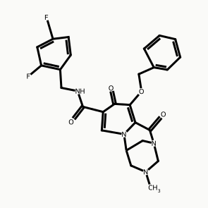 CN1CC2CN(C1)C(=O)c1c(OCc3ccccc3)c(=O)c(C(=O)NCc3ccc(F)cc3F)cn12